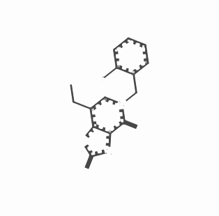 CCc1cn(Cc2ccccc2Cl)c(=O)c2[nH]c(=O)oc12